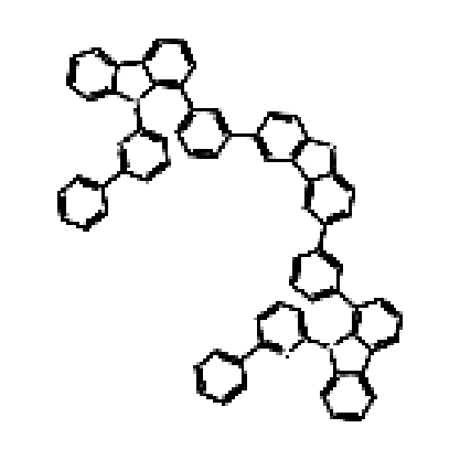 c1ccc(-c2cccc(-n3c4ccccc4c4cccc(-c5cccc(-c6ccc7sc8ccc(-c9cccc(-c%10cccc%11c%12ccccc%12n(-c%12cccc(-c%13ccccc%13)n%12)c%10%11)c9)cc8c7c6)c5)c43)n2)cc1